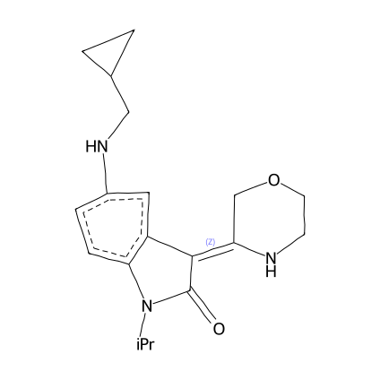 CC(C)N1C(=O)/C(=C2/COCCN2)c2cc(NCC3CC3)ccc21